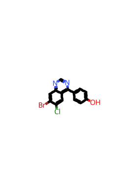 Oc1ccc(-c2ncnc3cc(Br)c(Cl)cc23)cc1